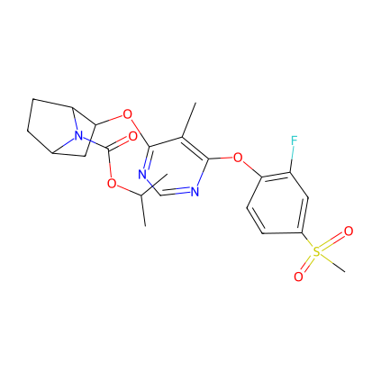 Cc1c(Oc2ccc(S(C)(=O)=O)cc2F)ncnc1OC1CC2CCC1N2C(=O)OC(C)C